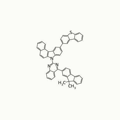 CC1(C)c2ccccc2-c2ccc(-c3nc(-n4c5ccc(-c6ccc7sc8ccccc8c7c6)cc5c5c6ccccc6ccc54)nc4ccccc34)cc21